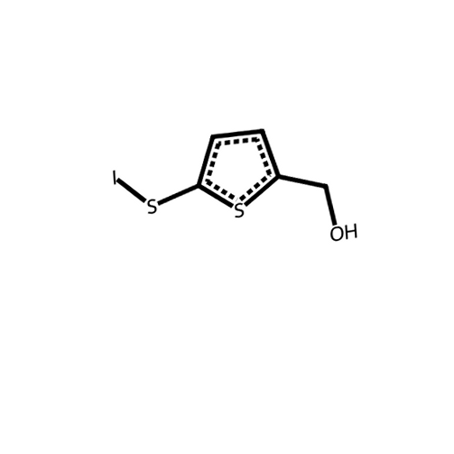 OCc1ccc(SI)s1